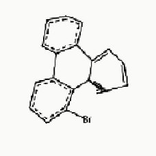 Brc1cccc2c1C13CC=CC=C1C=CC=C3c1ccccc1-2